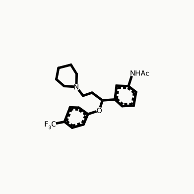 CC(=O)Nc1cccc(C(CCN2CCCCC2)Oc2ccc(C(F)(F)F)cc2)c1